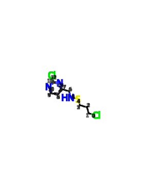 ClCCCSNCc1ccnc(Cl)n1